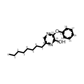 CCCCCCCCc1cnc(Oc2ccccc2)c(O)n1